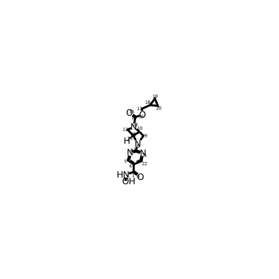 O=C(NO)c1cnc(N2CC3[C@H]2CN3C(=O)OCC2CC2)nc1